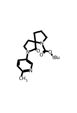 Cc1ccc(N2CCC3(CCCN3C(=O)OC(C)(C)C)C2=O)cn1